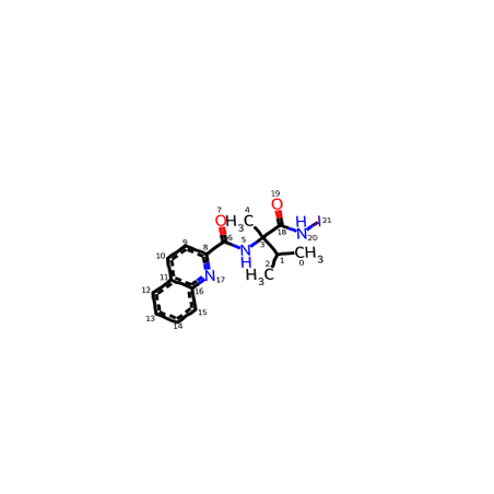 CC(C)C(C)(NC(=O)c1ccc2ccccc2n1)C(=O)NI